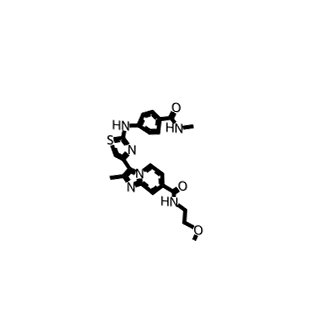 CNC(=O)c1ccc(Nc2nc(-c3c(C)nc4cc(C(=O)NCCOC)ccn34)cs2)cc1